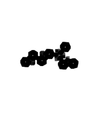 c1ccc(-c2nc(-c3ccc4oc5c(-c6cccc7c6oc6ccccc67)cccc5c4c3)nc(-c3cccc4c3sc3ccccc34)n2)cc1